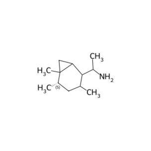 CC(N)C1C(C)C[C@H](C)C2(C)CC12